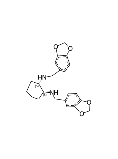 c1cc2c(cc1CN[C@H]1CCCC[C@@H]1NCc1ccc3c(c1)OCO3)OCO2